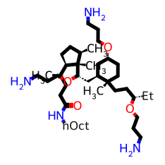 CCCCCCCCNC(=O)CC[C@@H](C)[C@H]1CC[C@@H](C)[C@]1(C)[C@H](C[C@H]1C[C@H](OCCCN)CC[C@]1(C)CC[C@H](CC)OCCCN)OCCCN